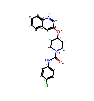 O=C(Nc1ccc(Cl)cc1)N1CCC(Oc2cnc3ccccc3c2)CC1